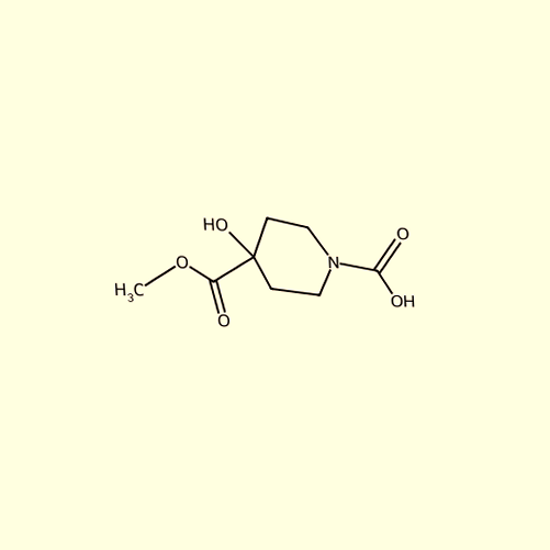 COC(=O)C1(O)CCN(C(=O)O)CC1